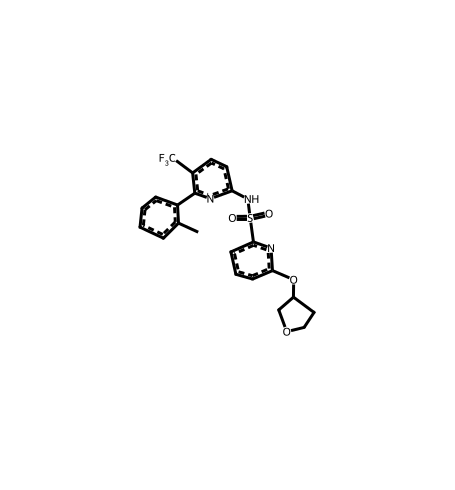 Cc1ccccc1-c1nc(NS(=O)(=O)c2cccc(OC3CCOC3)n2)ccc1C(F)(F)F